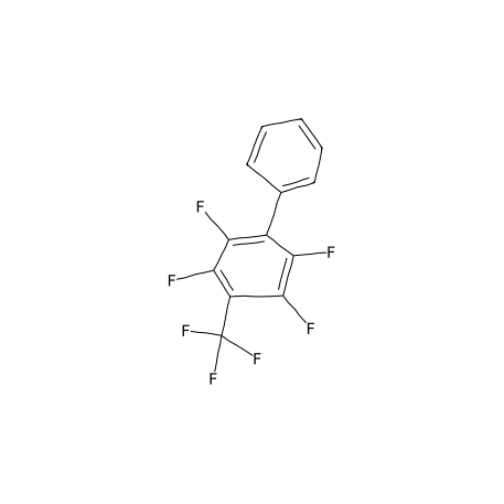 Fc1c(F)c(C(F)(F)F)c(F)c(F)c1-c1ccccc1